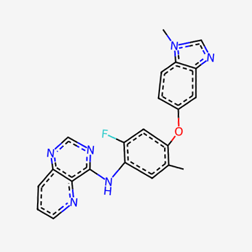 Cc1cc(Nc2ncnc3cccnc23)c(F)cc1Oc1ccc2c(c1)ncn2C